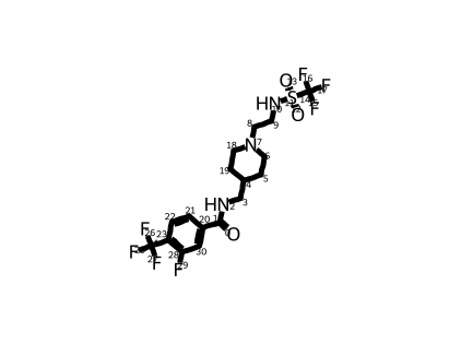 O=C(NCC1CCN(CCNS(=O)(=O)C(F)(F)F)CC1)c1ccc(C(F)(F)F)c(F)c1